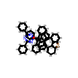 C1=C(c2c3ccccc3c(-c3ccccc3)c3ccccc23)c2c(sc3cccc(-c4c5ccccc5c(-c5nc(-c6ccccc6)nc(-c6ccccc6)n5)c5ccccc45)c23)CC1